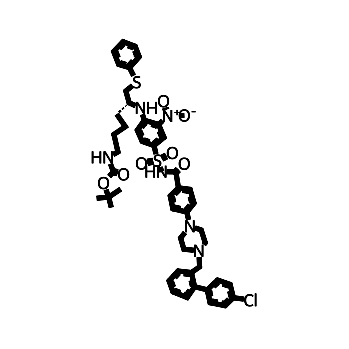 CC(C)(C)OC(=O)NCCCC[C@H](CSc1ccccc1)Nc1ccc(S(=O)(=O)NC(=O)c2ccc(N3CCN(Cc4ccccc4-c4ccc(Cl)cc4)CC3)cc2)cc1[N+](=O)[O-]